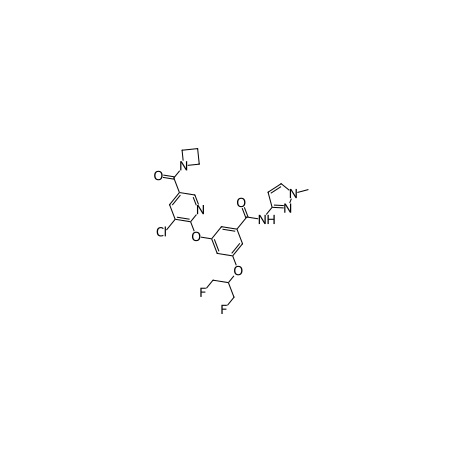 Cn1ccc(NC(=O)c2cc(Oc3ncc(C(=O)N4CCC4)cc3Cl)cc(OC(CF)CF)c2)n1